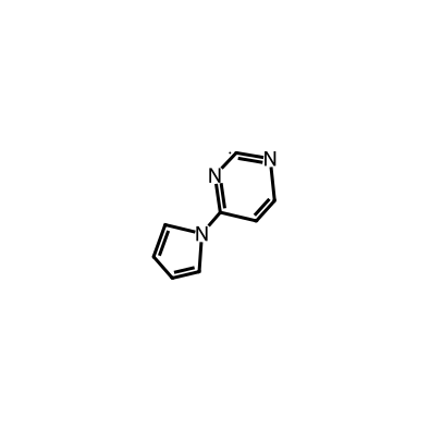 [c]1nccc(-n2cccc2)n1